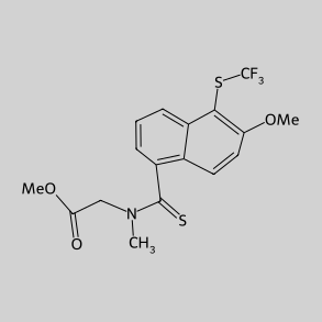 COC(=O)CN(C)C(=S)c1cccc2c(SC(F)(F)F)c(OC)ccc12